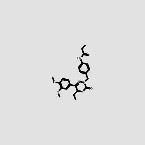 CCC(=O)Nc1ccc(CN2N=C(c3ccc(OC)c(OC)c3)C(CC)SC2=O)cc1